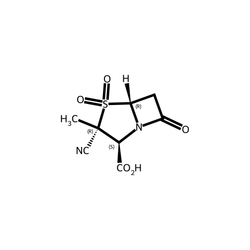 C[C@]1(C#N)[C@H](C(=O)O)N2C(=O)C[C@H]2S1(=O)=O